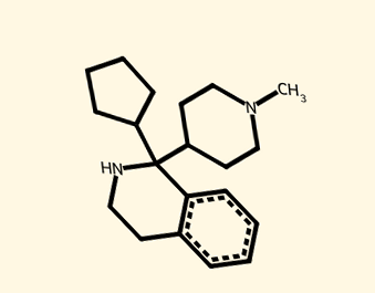 CN1CCC(C2(C3CCCC3)NCCc3ccccc32)CC1